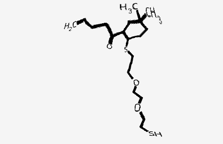 C=CCCC(=O)C1CC(C)(C)CCC1SCCOCCOCCS